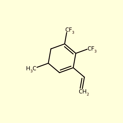 C=CC1=CC(C)CC(C(F)(F)F)=C1C(F)(F)F